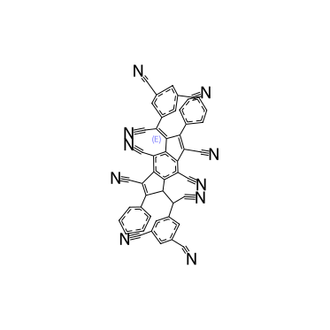 N#CC1=C(c2ccccc2)/C(=C(/C#N)c2cc(C#N)cc(C#N)c2)c2c(C#N)c3c(c(C#N)c21)C(C(C#N)c1cc(C#N)cc(C#N)c1)C(c1ccccc1)=C3C#N